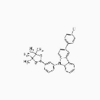 CC1(C)OB(c2cccc(-n3c4ccccc4c4cc(-c5ccc(Cl)cc5)ccc43)c2)OC1(C)C